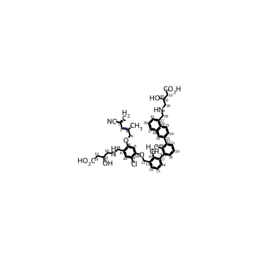 C=C(C#N)/C=C(\C)COc1cc(OCc2cccc(-c3cccc(-c4ccc5c(CNC[C@@H](O)CC(=O)O)cccc5c4)c3C)c2C)c(Cl)cc1CNC[C@@H](O)CC(=O)O